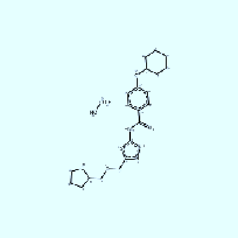 O=C(Nc1nnc(COCC2CCCO2)s1)c1ccc(OC2CCCCC2)cc1.O=C(O)O